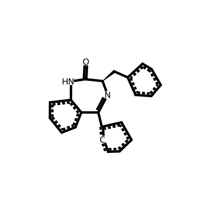 O=C1Nc2ccccc2C(c2ccccc2)=N[C@@H]1Cc1ccccc1